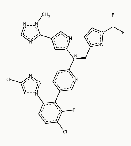 Cn1ncnc1-c1cnn([C@@H](Cc2ccn(C(F)F)n2)c2ccc(-c3c(-n4cc(Cl)nn4)ccc(Cl)c3F)cn2)c1